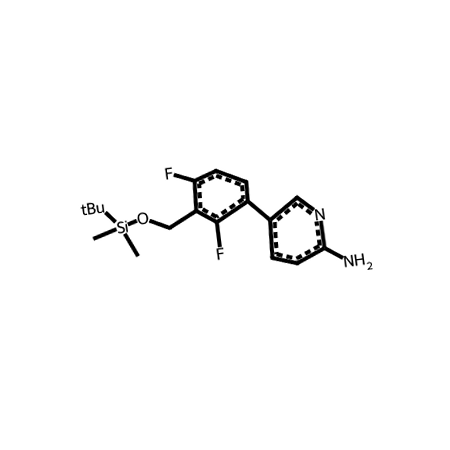 CC(C)(C)[Si](C)(C)OCc1c(F)ccc(-c2ccc(N)nc2)c1F